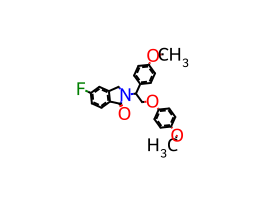 COc1ccc(OCC(c2ccc(OC)cc2)N2Cc3cc(F)ccc3C2=O)cc1